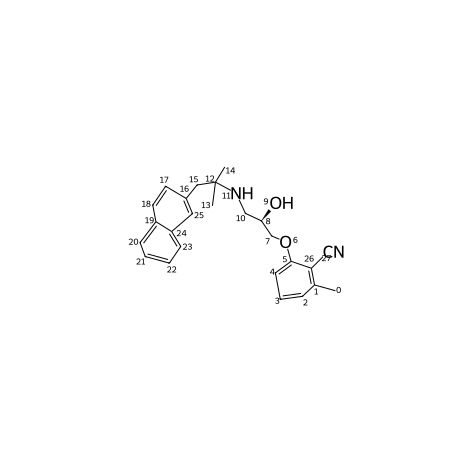 Cc1cccc(OC[C@H](O)CNC(C)(C)Cc2ccc3ccccc3c2)c1C#N